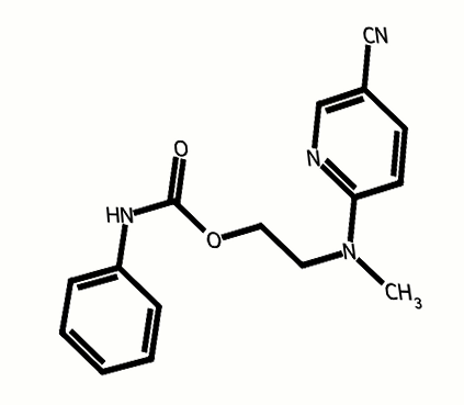 CN(CCOC(=O)Nc1ccccc1)c1ccc(C#N)cn1